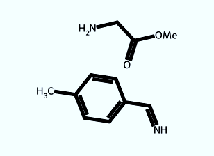 COC(=O)CN.Cc1ccc(C=N)cc1